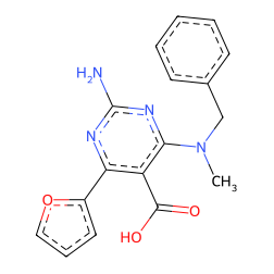 CN(Cc1ccccc1)c1nc(N)nc(-c2ccco2)c1C(=O)O